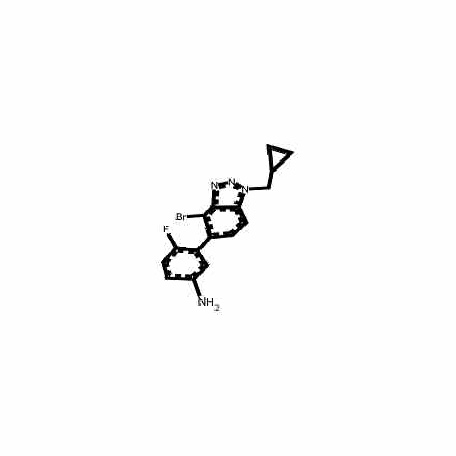 Nc1ccc(F)c(-c2ccc3c(nnn3CC3CC3)c2Br)c1